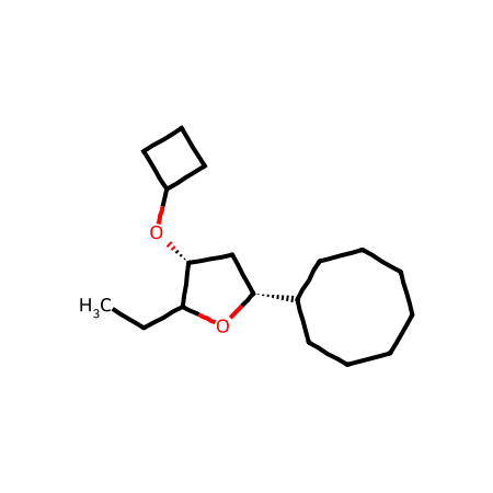 CCC1O[C@@H](C2CCCCCCC2)C[C@H]1OC1CCC1